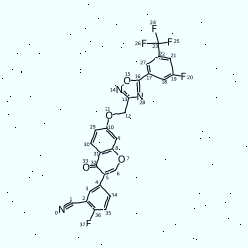 N#Cc1cc(-c2coc3cc(OCc4noc(-c5cc(F)cc(C(F)(F)F)c5)n4)ccc3c2=O)ccc1F